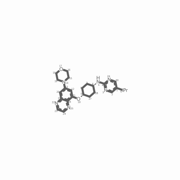 CC(C)c1cnc(N[C@H]2CC[C@@H](Oc3cc(N4CCOCC4)cc4nccnc34)CC2)nc1